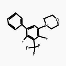 Fc1c(-c2ccccc2)cc(N2CCOCC2)c(F)c1C(F)(F)F